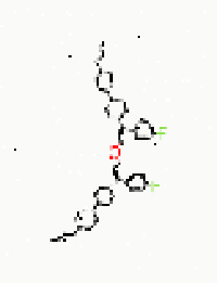 CCCC[C@H]1CC[C@H]([C@H]2CC[C@H](C(=CCOCC=C(c3ccc(F)cc3)[C@H]3CC[C@H]([C@H]4CC[C@H](CCCC)CC4)CC3)c3ccc(F)cc3)CC2)CC1